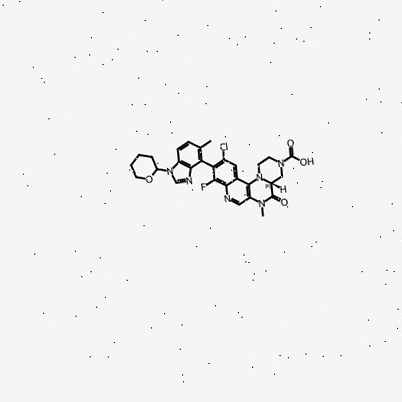 Cc1ccc2c(ncn2C2CCCCO2)c1-c1c(Cl)cc2c3c(cnc2c1F)N(C)C(=O)[C@H]1CN(C(=O)O)CCN31